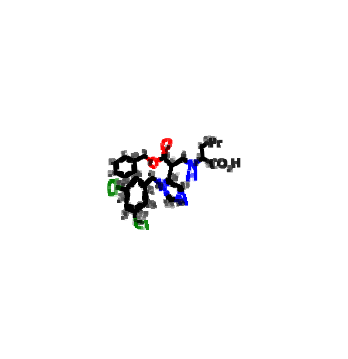 CC(C)CC(NCC(C(=O)OCc1ccccc1)c1cncn1Cc1cc(Cl)cc(Cl)c1)C(=O)O